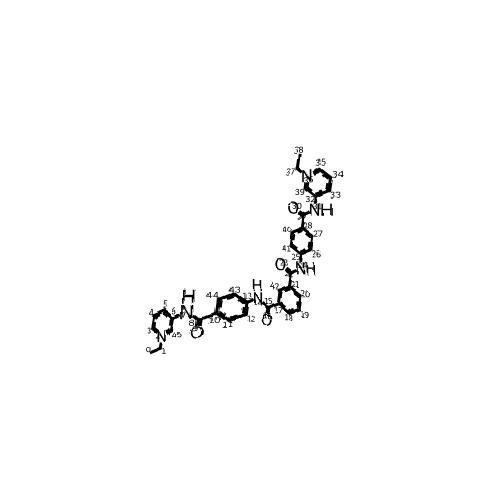 CC[n+]1cccc(NC(=O)c2ccc(NC(=O)c3cccc(C(=O)Nc4ccc(C(=O)Nc5ccc[n+](CC)c5)cc4)c3)cc2)c1